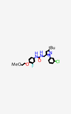 COCCOc1ccc(NC(=O)NCc2cc(C(C)(C)C)nn2-c2cccc(Cl)c2)cc1F